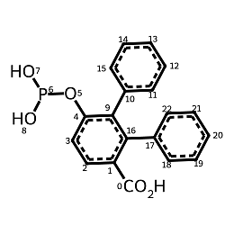 O=C(O)c1ccc(OP(O)O)c(-c2ccccc2)c1-c1ccccc1